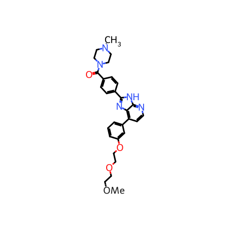 COCCOCCOc1cccc(-c2ccnc3[nH]c(-c4ccc(C(=O)N5CCN(C)CC5)cc4)nc23)c1